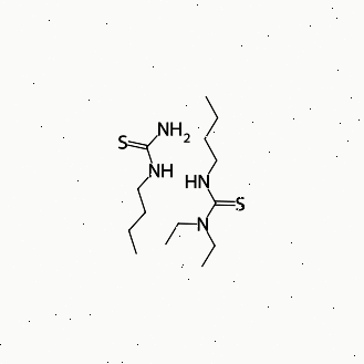 CCCCNC(=S)N(CC)CC.CCCCNC(N)=S